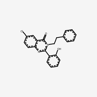 O=c1c2cc(Cl)ccc2nc(-c2ccccc2O)n1CCc1ccccc1